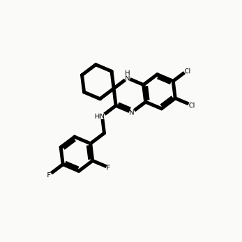 Fc1ccc(CNC2=Nc3cc(Cl)c(Cl)cc3NC23CCCCC3)c(F)c1